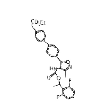 CCOC(=O)Cc1ccc(-c2ccc(-c3onc(C)c3NC(=O)OC(C)c3c(F)cccc3F)cc2)cc1